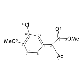 COC(=O)C(C(C)=O)c1ccc(OC)c(Cl)c1